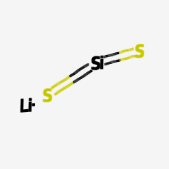 S=[Si]=S.[Li]